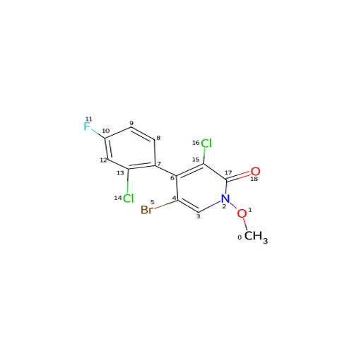 COn1cc(Br)c(-c2ccc(F)cc2Cl)c(Cl)c1=O